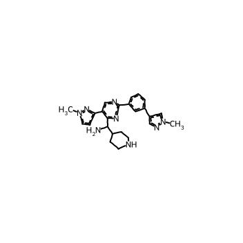 Cn1cc(-c2cccc(-c3ncc(-c4ccn(C)n4)c(C(N)C4CCNCC4)n3)c2)cn1